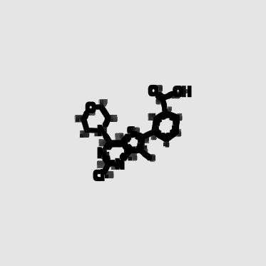 Cc1c(-c2cccc(C(=O)O)c2)sc2c(N3CCOCC3)nc(Cl)nc12